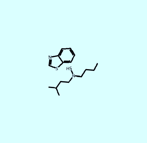 CCCCN(S)CCC(C)C.c1ccc2scnc2c1